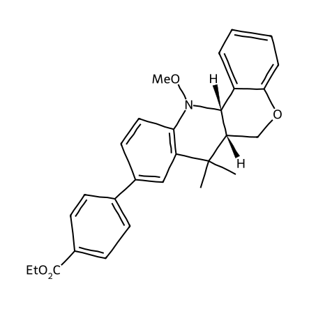 CCOC(=O)c1ccc(-c2ccc3c(c2)C(C)(C)[C@H]2COc4ccccc4[C@H]2N3OC)cc1